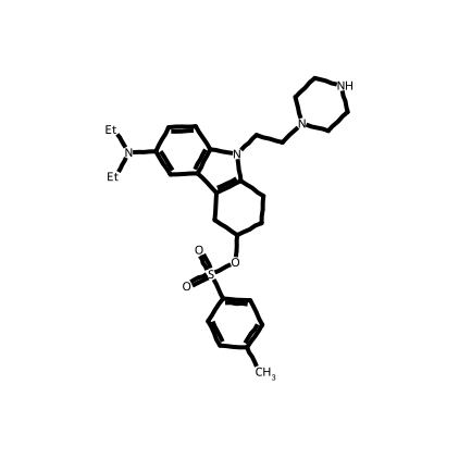 CCN(CC)c1ccc2c(c1)c1c(n2CCN2CCNCC2)CCC(OS(=O)(=O)c2ccc(C)cc2)C1